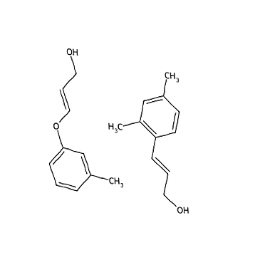 Cc1ccc(C=CCO)c(C)c1.Cc1cccc(OC=CCO)c1